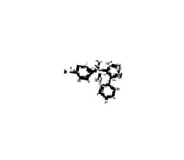 O=S(=O)(c1ccc(Br)cc1)c1snnc1-c1ccccc1